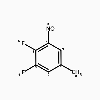 Cc1cc(F)c(F)c(N=O)c1